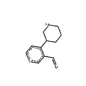 O=Cc1cnccc1C1CCCNC1